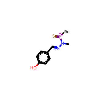 CCC(C)[PH](=S)N(C)/N=C/c1ccc(O)cc1